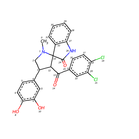 CN1CC(c2ccc(O)c(O)c2)C(C(=O)c2ccc(Cl)c(Cl)c2)C12C(=O)Nc1ccccc12